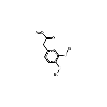 CCOc1ccc(CC(=O)OC)cc1OCC